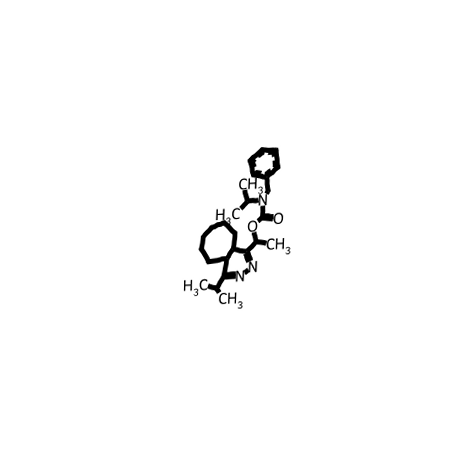 CC(C)C1=NN=C(C(C)OC(=O)N(Cc2ccccc2)C(C)C)C2CCCCCCC12